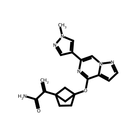 C=C(C(N)=O)C12CCC(Oc3nc(-c4cnn(C)c4)cn4nccc34)(C1)C2